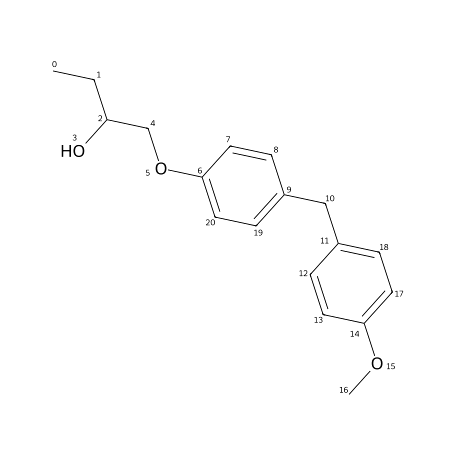 CCC(O)COc1ccc(Cc2ccc(OC)cc2)cc1